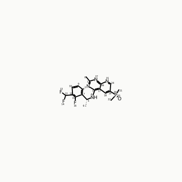 Cc1nc(N[C@H](C)c2cccc(C(F)F)c2F)c2cc(P(C)(C)=O)cnc2n1